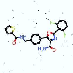 NC(=O)c1nc(-c2c(F)cccc2F)oc1-c1ccc(CNC(=O)c2cccs2)cc1